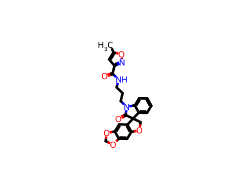 Cc1cc(C(=O)NCCCN2C(=O)C3(COc4cc5c(cc43)OCO5)c3ccccc32)no1